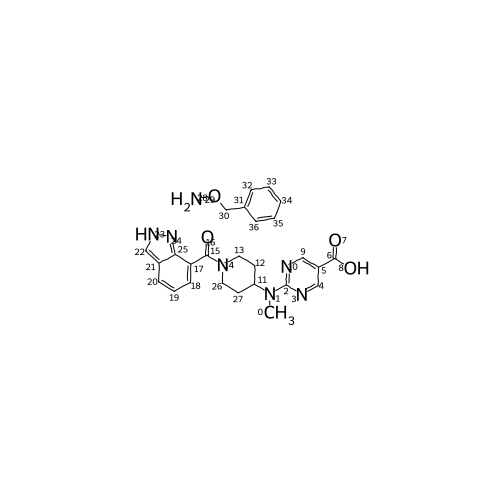 CN(c1ncc(C(=O)O)cn1)C1CCN(C(=O)c2cccc3c[nH]nc23)CC1.NOCc1ccccc1